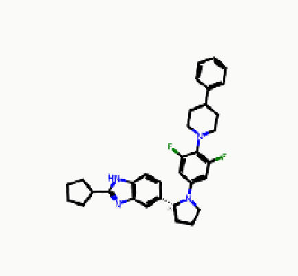 Fc1cc(N2CCC[C@@H]2c2ccc3[nH]c(C4CCCC4)nc3c2)cc(F)c1N1CCC(c2ccccc2)CC1